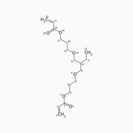 C=CC(=O)OCCCOCC(CC)COCCCOC(=O)C=C